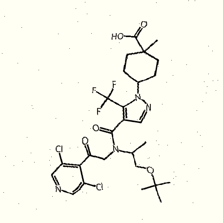 CC(COC(C)(C)C)N(CC(=O)c1c(Cl)cncc1Cl)C(=O)c1cnn(C2CCC(C)(C(=O)O)CC2)c1C(F)(F)F